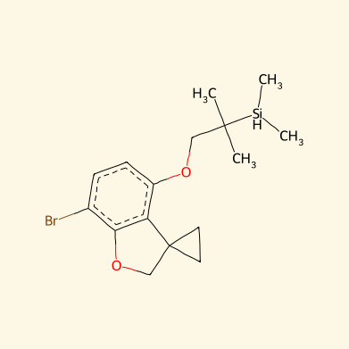 C[SiH](C)C(C)(C)COc1ccc(Br)c2c1C1(CC1)CO2